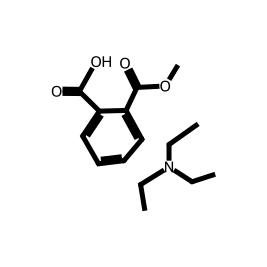 CCN(CC)CC.COC(=O)c1ccccc1C(=O)O